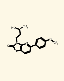 C[C@H](O)CCn1c(=O)oc2ccc(-c3ccc(OC(F)(F)F)cc3)nc21